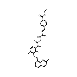 CCOC(=O)c1ccc(C=CC(=O)NCC(=O)N(C)c2ccc(C)c(COc3cccc4ccc(C)nc34)c2C)cn1